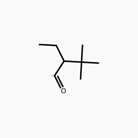 CCC([C]=O)C(C)(C)C